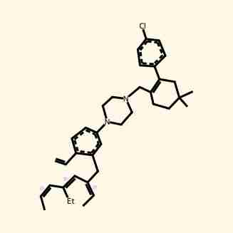 C=Cc1ccc(N2CCN(CC3=C(c4ccc(Cl)cc4)CC(C)(C)CC3)CC2)cc1CC(=C/C)/C=C(/C=C\C)CC